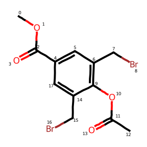 COC(=O)c1cc(CBr)c(OC(C)=O)c(CBr)c1